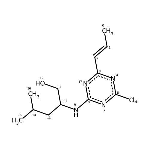 CC=Cc1nc(Cl)nc(NC(CO)CC(C)C)n1